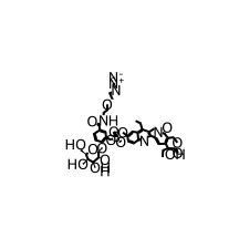 CCc1c2c(nc3ccc(OS(=O)(=O)Oc4cc(C(=O)NCCOCCN=[N+]=[N-])ccc4O[C@@H]4O[C@H](CO)[C@H](O)[C@H](O)[C@H]4O)cc13)-c1cc3c(c(=O)n1C2)COC(=O)[C@]3(O)CC